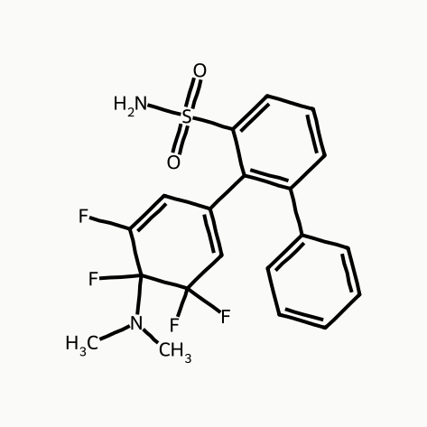 CN(C)C1(F)C(F)=CC(c2c(-c3ccccc3)cccc2S(N)(=O)=O)=CC1(F)F